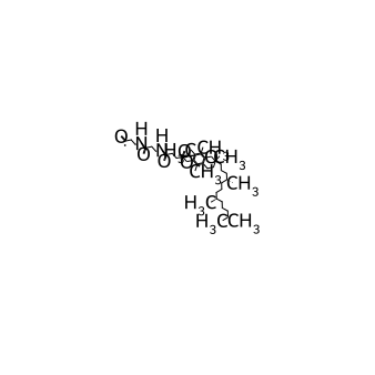 Cc1c(C)c2c(c(C)c1OC(=O)CCC(=O)NCCC(=O)NCC[C]=O)CC[C@@](C)(CCC[C@H](C)CCC[C@H](C)CCCC(C)C)O2